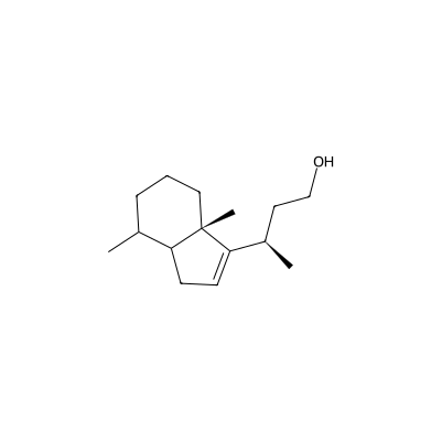 CC1CCC[C@]2(C)C([C@H](C)CCO)=CCC12